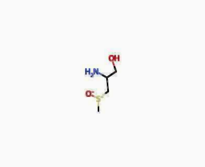 C[S+]([O-])CC(N)CO